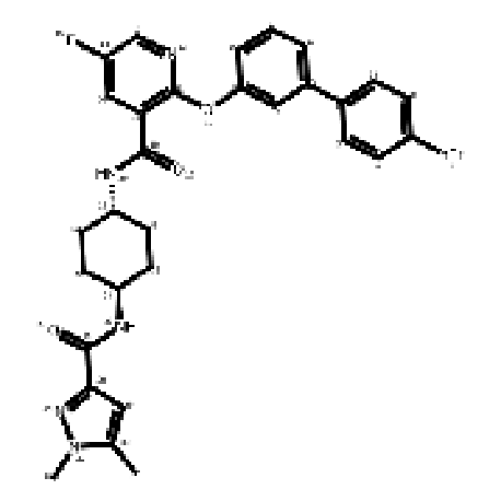 [CH2]CCc1ccc(-c2cccc(Oc3ncc(F)cc3C(=O)N[C@H]3CC[C@H](NC(=O)c4cc(C)n(C)n4)CC3)c2)cc1